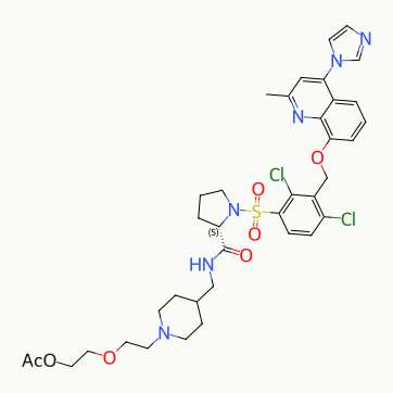 CC(=O)OCCOCCN1CCC(CNC(=O)[C@@H]2CCCN2S(=O)(=O)c2ccc(Cl)c(COc3cccc4c(-n5ccnc5)cc(C)nc34)c2Cl)CC1